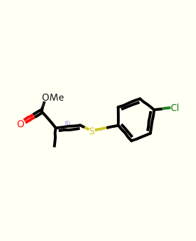 COC(=O)/C(C)=C/Sc1ccc(Cl)cc1